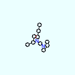 c1ccc(-c2ccc(-c3ccc(N(c4ccc(-n5c6ccccc6c6ccc7ccccc7c65)cc4)c4ccc(-c5ccccc5)cc4-c4ccccc4)cc3)cc2)cc1